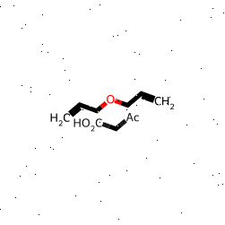 C=CCOCC=C.CC(=O)CC(=O)O